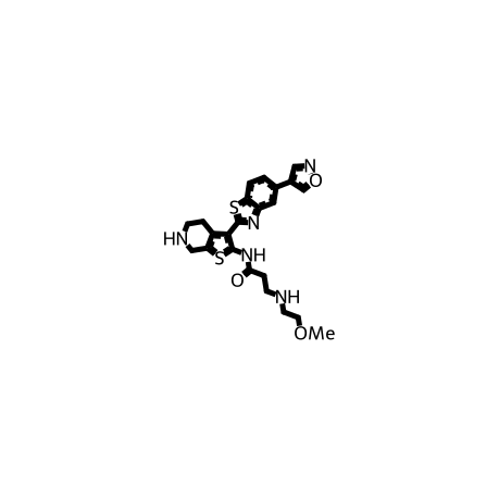 COCCNCCC(=O)Nc1sc2c(c1-c1nc3cc(-c4cnoc4)ccc3s1)CCNC2